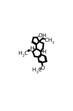 C=C[C@@H]1Cc2cc(OC)ccc2[C@H]2CCC3(CC)C(=CC[C@@H]3O)[C@H]12